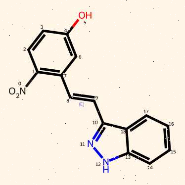 O=[N+]([O-])c1ccc(O)cc1/C=C/c1n[nH]c2ccccc12